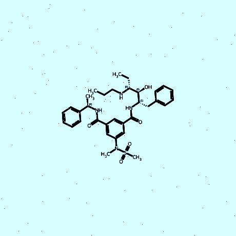 CCCN[C@H](CC)[C@@H](O)[C@H](Cc1ccccc1)NC(=O)c1cc(C(=O)N[C@H](C)c2ccccc2)cc(N(C)S(C)(=O)=O)c1